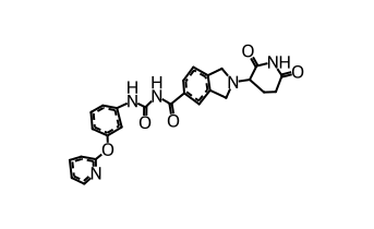 O=C1CCC(N2Cc3ccc(C(=O)NC(=O)Nc4cccc(Oc5ccccn5)c4)cc3C2)C(=O)N1